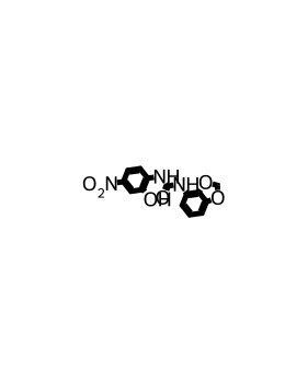 O=C(Nc1ccc([N+](=O)[O-])cc1O)Nc1cccc2c1OCO2